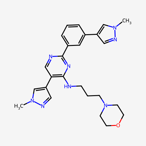 Cn1cc(-c2cccc(-c3ncc(-c4cnn(C)c4)c(NCCCN4CCOCC4)n3)c2)cn1